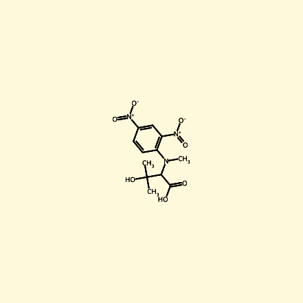 CN(c1ccc([N+](=O)[O-])cc1[N+](=O)[O-])C(C(=O)O)C(C)(C)O